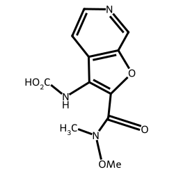 CON(C)C(=O)c1oc2cnccc2c1NC(=O)O